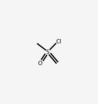 C=S(C)(=O)Cl